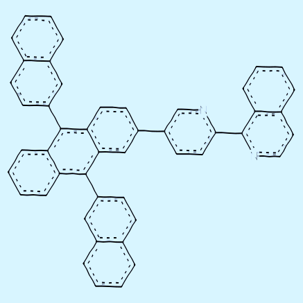 c1ccc2cc(-c3c4ccccc4c(-c4ccc5ccccc5c4)c4cc(-c5ccc(-c6nccc7ccccc67)nc5)ccc34)ccc2c1